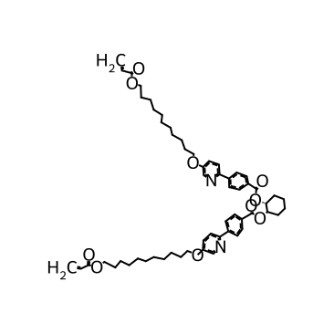 C=CC(=O)OCCCCCCCCCCCOc1ccc(-c2ccc(C(=O)O[C@@H]3CCCC[C@H]3OC(=O)c3ccc(-c4ccc(OCCCCCCCCCCCOC(=O)C=C)cn4)cc3)cc2)nc1